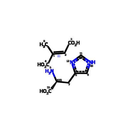 C/C(=C\C(=O)O)C(=O)O.N[C@@H](Cc1c[nH]cn1)C(=O)O